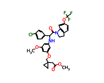 COC(=O)CC1(COc2cc(NC(C(=O)N3CCc4ccc(OC(F)(F)F)cc43)c3ccc(Cl)cc3)cc(OC)c2)CC1